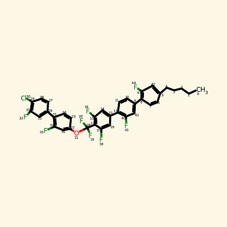 CCCCCc1ccc(-c2ccc(-c3cc(F)c(C(F)(F)Oc4ccc(-c5ccc(Cl)c(F)c5)c(F)c4)c(F)c3)c(F)c2)c(F)c1